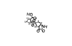 O=C1Nc2ccc(S(=O)(=O)N3CCC[C@H]3C(=O)O)cc2C1=O